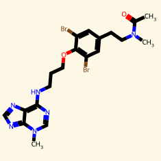 CC(=O)N(C)CCc1cc(Br)c(OCCCNc2ncn(C)c3ncnc2-3)c(Br)c1